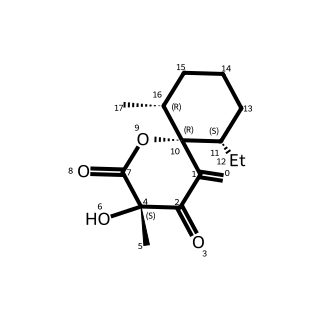 C=C1C(=O)[C@](C)(O)C(=O)O[C@]12[C@@H](CC)CCC[C@H]2C